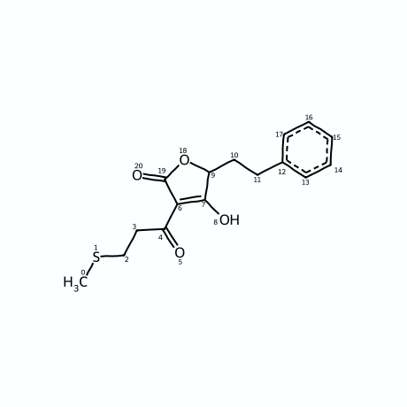 CSCCC(=O)C1=C(O)C(CCc2ccccc2)OC1=O